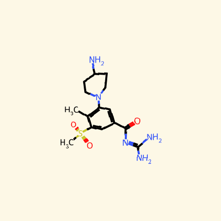 Cc1c(N2CCC(N)CC2)cc(C(=O)N=C(N)N)cc1S(C)(=O)=O